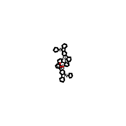 FC(F)(F)c1cccc(-n2c3ccccc3c3cc4c5ccccc5n(-c5ccccc5)c4cc32)c1-c1ncccc1-n1c2ccccc2c2cc3c4ccccc4n(-c4ccccc4)c3cc21